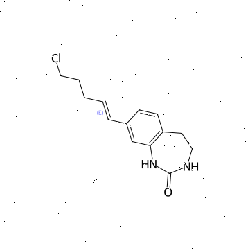 O=C1NCCc2ccc(/C=C/CCCCl)cc2N1